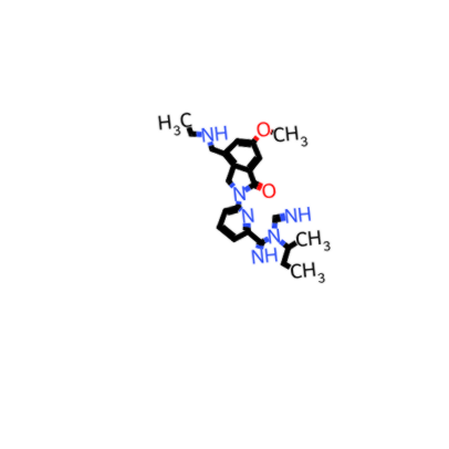 CCNCc1cc(OC)cc2c1CN(c1cccc(C(=N)N(C=N)C(C)CC)n1)C2=O